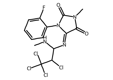 CNC(/N=C1/C(=O)N(C)C(=O)N1c1ccccc1F)C(Cl)C(Cl)(Cl)Cl